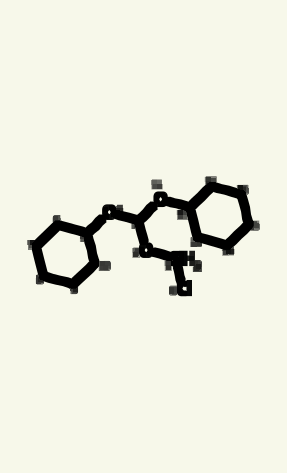 Cl[SiH2]OC(OC1CCCCC1)OC1CCCCC1